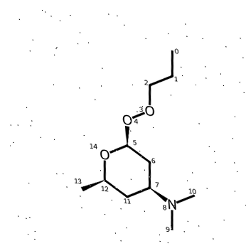 CCCOO[C@H]1C[C@@H](N(C)C)C[C@@H](C)O1